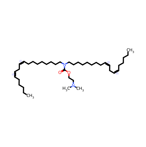 CCCCC/C=C\C/C=C\CCCCCCCCN(CCCCCCCC/C=C\C/C=C\CCCCC)C(=O)OCCN(C)C